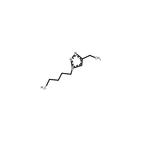 CCCCCn1cc(CC)nn1